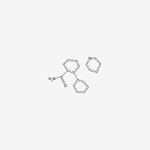 NC(=O)c1ccccc1-c1ccccc1.c1ccncc1